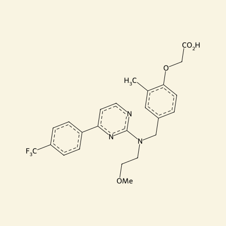 COCCN(Cc1ccc(OCC(=O)O)c(C)c1)c1nccc(-c2ccc(C(F)(F)F)cc2)n1